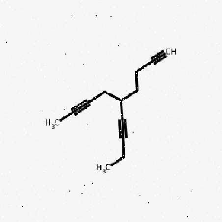 C#CCC[C](C#CCC)CC#CC